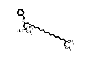 CCC(C)CCCCCCCCCCCCCOCC(CC(C)(C)C)OCc1ccccc1